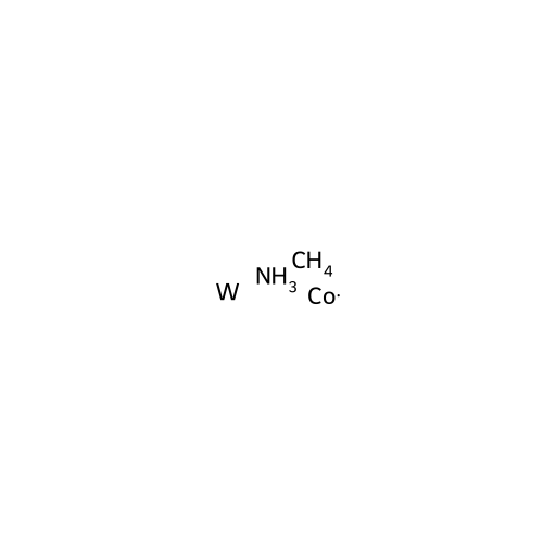 C.N.[Co].[W]